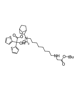 CN(CCCCCCCCNCC(=O)OC(C)(C)C)C1CC2CCC1C2OC(=O)C(O)(c1cccs1)c1cccs1